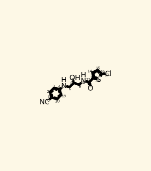 N#Cc1ccc(NCC(O)CNC(=O)c2ccc(Cl)s2)cc1